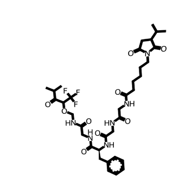 CC(C)C(=O)C(OCNC(=O)CNC(=O)[C@H](Cc1ccccc1)NC(=O)CNC(=O)CNC(=O)CCCCCN1C(=O)CC(C(C)C)C1=O)C(F)(F)F